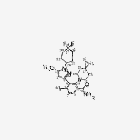 Cc1cc(-c2c(I)ccc(C(N)=O)c2N2CCC3(CC2)CC3)nn1C1CCC(F)(F)CC1